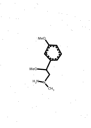 COc1cccc(C(CN(C)N)OC)c1